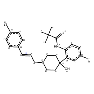 CC(C)(C)C(=O)Nc1ccc(Cl)cc1C1(O)CCN(C/C=C/c2ccc(Cl)cc2)CC1